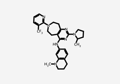 CC1CCCN1c1nc2c(c(Nc3ccc4c(c3)N(C)CCC4)n1)CCN(c1ncccc1C(F)(F)F)CC2